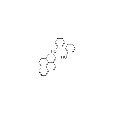 Oc1ccccc1.Oc1ccccc1.c1cc2ccc3cccc4ccc(c1)c2c34